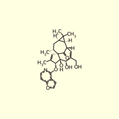 CC1=C[C@]23C(=O)[C@@H](C=C(CO)[C@@H](O)[C@]2(O)[C@H]1Oc1nccc2occc12)[C@H]1[C@@H](C[C@H]3C)C1(C)C